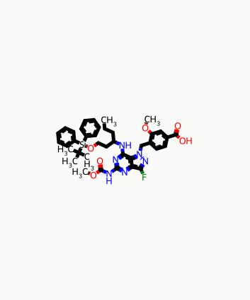 CCCC(CCO[Si](c1ccccc1)(c1ccccc1)C(C)(C)C)Nc1nc(NC(=O)OC)nc2c(F)nn(Cc3ccc(C(=O)O)cc3OC)c12